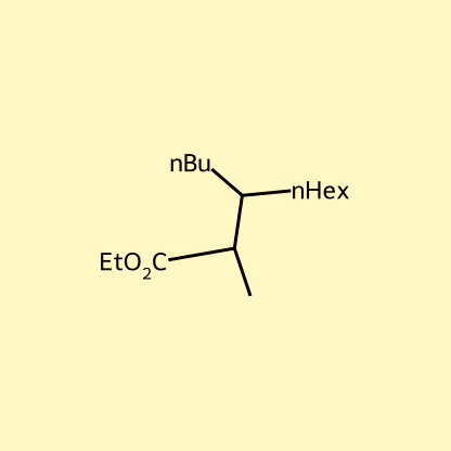 CCCCCCC(CCCC)C(C)C(=O)OCC